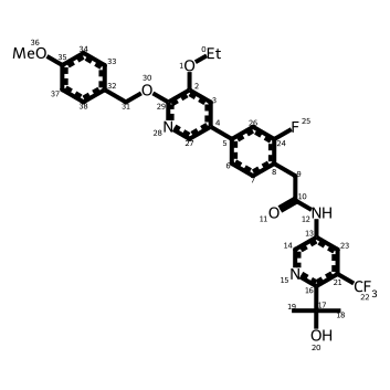 CCOc1cc(-c2ccc(CC(=O)Nc3cnc(C(C)(C)O)c(C(F)(F)F)c3)c(F)c2)cnc1OCc1ccc(OC)cc1